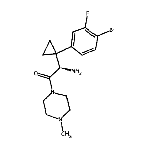 CN1CCN(C(=O)[C@H](N)C2(c3ccc(Br)c(F)c3)CC2)CC1